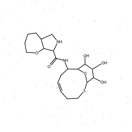 O=C(NC1C/C=C\CCSC2OC1C(O)C(O)C2O)C1NCC2CCCCOC21